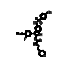 COc1ccc(-c2c(OC(=O)NCCN3CCOCC3)[nH]c3ccc(NS(=O)(=O)c4ccc(C(C)(C)C)cc4)cc23)cc1F